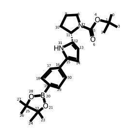 CC(C)(C)OC(=O)N1CCC[C@H]1c1ccc(-c2ccc(B3OC(C)(C)C(C)(C)O3)cc2)[nH]1